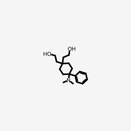 CN(C)C1(c2ccccc2)CCC(CCO)(CCO)CC1